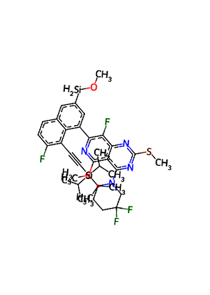 CO[SiH2]c1cc(-c2nc(OC)c3c(N4CCCC(F)(F)C4)nc(SC)nc3c2F)c2c(C#C[Si](C(C)C)(C(C)C)C(C)C)c(F)ccc2c1